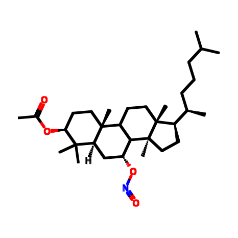 CC(=O)O[C@H]1CC[C@]2(C)C3CC[C@]4(C)[C@@H]([C@H](C)CCCC(C)C)CC[C@@]4(C)C3[C@H](ON=O)C[C@H]2C1(C)C